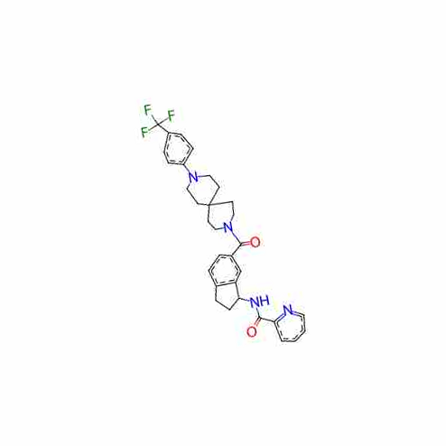 O=C(NC1CCc2ccc(C(=O)N3CCC4(CC3)CCN(c3ccc(C(F)(F)F)cc3)CC4)cc21)c1ccccn1